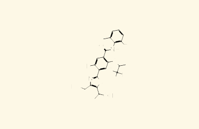 CC(O)c1sc(-c2cc(OC(C)C(F)(F)F)c(C(=O)Nc3c(F)cccc3Cl)cc2F)nc1CO